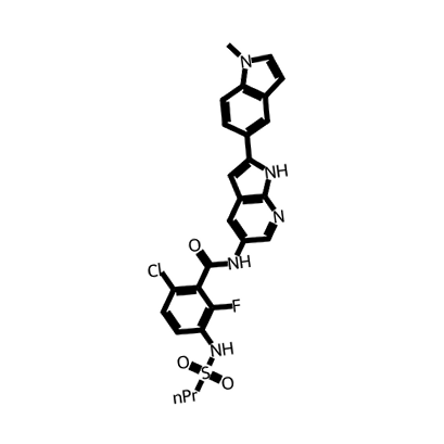 CCCS(=O)(=O)Nc1ccc(Cl)c(C(=O)Nc2cnc3[nH]c(-c4ccc5c(ccn5C)c4)cc3c2)c1F